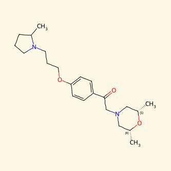 CC1CCCN1CCCOc1ccc(C(=O)CN2C[C@@H](C)O[C@@H](C)C2)cc1